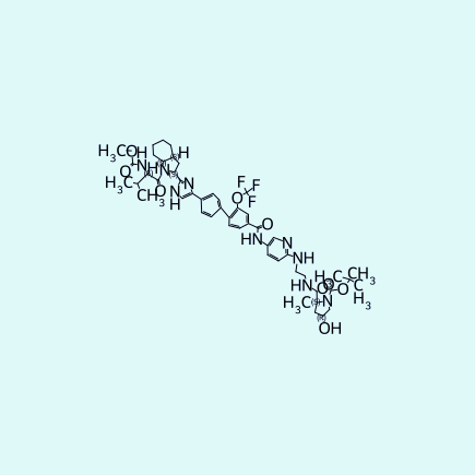 COC(=O)N[C@H](C(=O)N1[C@H](c2nc(-c3ccc(-c4ccc(C(=O)Nc5ccc(NCCNC(=O)[C@]6(C)C[C@@H](O)CN6C(=O)OC(C)(C)C)nc5)cc4OC(F)(F)F)cc3)c[nH]2)C[C@@H]2CCCC[C@@H]21)C(C)C